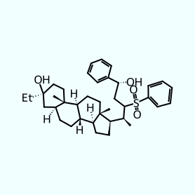 CC[C@]1(O)CC[C@@]2(C)[C@@H](CC[C@@H]3[C@@H]2CC[C@]2(C)[C@@H]([C@H](C)C(C[C@@H](O)c4ccccc4)S(=O)(=O)c4ccccc4)CC[C@@H]32)C1